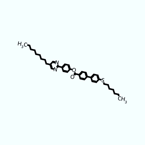 CCCCCCCCCc1cnc(-c2ccc(OC(=O)c3ccc(-c4ccc(SCCCCCCC)cc4)cc3)cc2)nc1